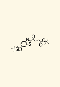 CC(C)(C)OC(=O)CCC(=O)c1nc2ccc(O[Si](C)(C)C(C)(C)C)cc2s1